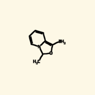 BC1=C2C=CC=CN2C(C)O1